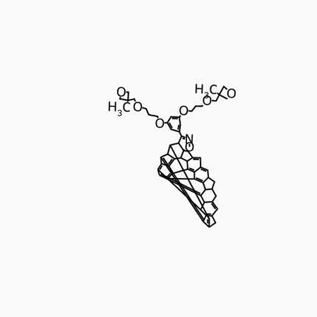 CC1(COCCCOc2cc(OCCCOCC3(C)COC3)cc(C3=NOC45CC6=CC7=CC8CC9CC%10=CC%11=C%12C%13=C%14c%15c%16c%17c%18c%19c%15=C(C%14C(C=C%13C%11)C34)C5C6C%19=C7C%18=C8C9C=%17C%10C%12%16)c2)COC1